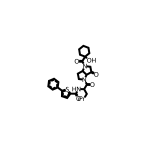 CC(C)CC(NC(=O)c1ccc(-c2ccccc2)s1)C(=O)N1CCC2C1C(=O)CN2C(=O)C1(O)CCCCC1